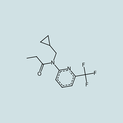 CCC(=O)N(CC1CC1)c1cccc(C(F)(F)F)n1